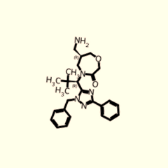 CC(C)(C)[C@H](c1nc(-c2ccccc2)nn1Cc1ccccc1)N1C[C@@H](CN)COCC1=O